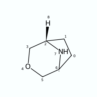 C1C[C@H]2COC[C]1N2